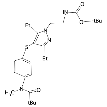 CCc1nn(CCNC(=O)OC(C)(C)C)c(CC)c1Sc1ccc(N(C)C(=O)C(C)(C)C)cc1